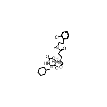 CN(CCc1ccccc1Cl)C(=O)CC[C@@H](C=O)NC(=O)[C@H](CC1CCCCC1)NC(=O)O